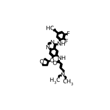 C#Cc1cc(F)c(F)c(Nc2ncnc3cc(OC4CCOC4)c(NC(=O)/C=C/CN(CC)CC)cc23)c1